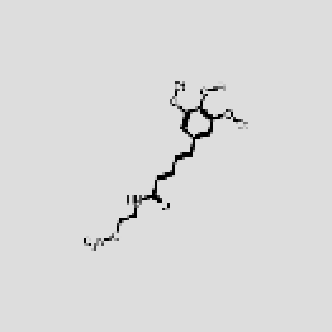 CCOc1cc(C=CC=CC(=O)NCCO[N+](=O)[O-])cc(OCC)c1OCC